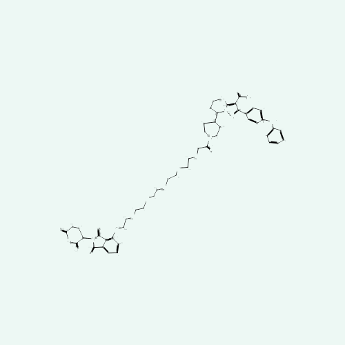 NC(=O)c1c(-c2ccc(Oc3ccccc3)cc2)nn2c1NCCC2C1CCN(C(=O)COCCOCCOCCOCCOCCSc2cccc3c2C(=O)N(C2CCC(=O)NC2=O)C3=O)CC1